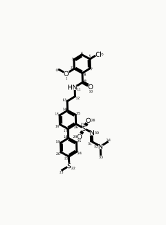 COc1ccc(Cl)cc1C(=O)NCCc1ccc(-c2ccc(SC)cc2)c(S(=O)(=O)N=CN(C)C)c1